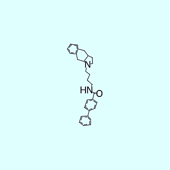 O=C(NCCCCN1CCC2Cc3ccccc3CC21)c1ccc(-c2ccccc2)cc1